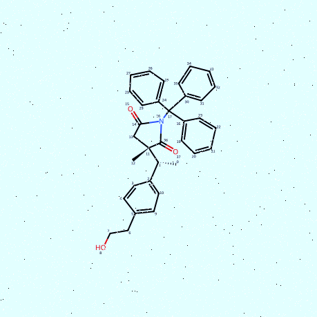 C[C@H](c1ccc(CCO)cc1)[C@]1(C)CC(=O)N(C(c2ccccc2)(c2ccccc2)c2ccccc2)C1=O